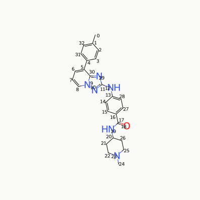 Cc1ccc(-c2cccn3nc(Nc4ccc(C(=O)NC5CCN(C)CC5)cc4)nc23)cc1